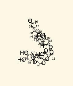 C[C@H]1O[C@@H](O[C@@H]2[C@@H](C)O[C@@H](O[C@@H]3[C@@H](C)O[C@@H](O[C@H]4CC[C@@]5(C)[C@H](CC[C@@H]6[C@@H]5CC[C@]5(C)[C@@H](C7=CC(=O)CC7)CC[C@]65O)C4)O[C@@H]3O)O[C@@H]2O)C[C@H](O)[C@@H]1O